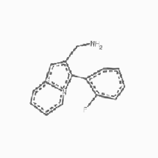 NCc1cc2ccccn2c1-c1ccccc1F